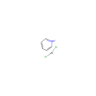 [Cl][Pd][Cl].c1cc[nH+]cc1